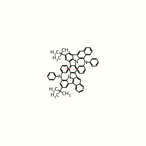 CC(C)(C)c1cc(N(c2ccccc2)c2ccccc2)c2c(c1)c1c3ccccc3cc3c4cc5c(nc4n2c31)c1cc(C(C)(C)C)cc2c3cc4ccccc4c(N(c4ccccc4)c4ccccc4)c3n5c21